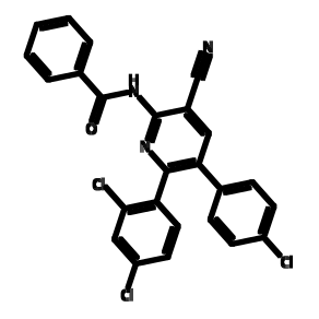 N#Cc1cc(-c2ccc(Cl)cc2)c(-c2ccc(Cl)cc2Cl)nc1NC(=O)c1ccccc1